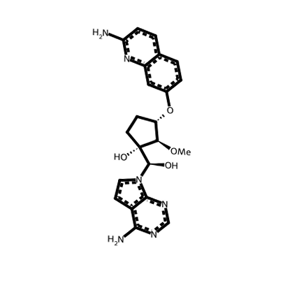 CO[C@@H]1[C@@H](Oc2ccc3ccc(N)nc3c2)CC[C@]1(O)[C@@H](O)n1ccc2c(N)ncnc21